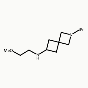 COCCNC1CC2(C1)CN(C(C)C)C2